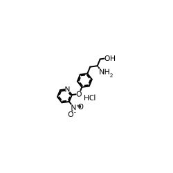 Cl.N[C@H](CO)Cc1ccc(Oc2ncccc2[N+](=O)[O-])cc1